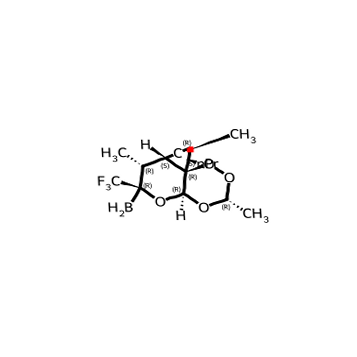 B[C@@]1(C(F)(F)F)O[C@@H]2O[C@@H](C)OO[C@@]23[C@@H](CCC)[C@H](C)CC[C@H]3[C@H]1C